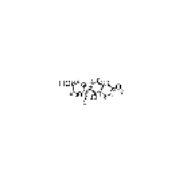 COc1ccc2cc(C3(C(C)Cl)OCC(O)CO3)ccc2c1